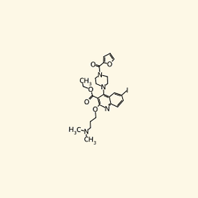 CCOC(=O)c1c(OCCCN(C)C)nc2ccc(I)cc2c1N1CCN(C(=O)c2ccco2)CC1